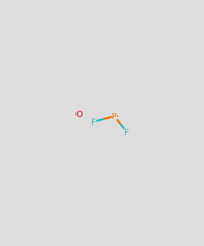 F[P]F.[O]